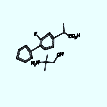 CC(C(=O)O)c1ccc(-c2ccccc2)c(F)c1.CC(C)(N)CO